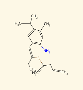 C=CCC(=C)S/C(=C\c1cc(C(C)C)c(C)cc1N)CC